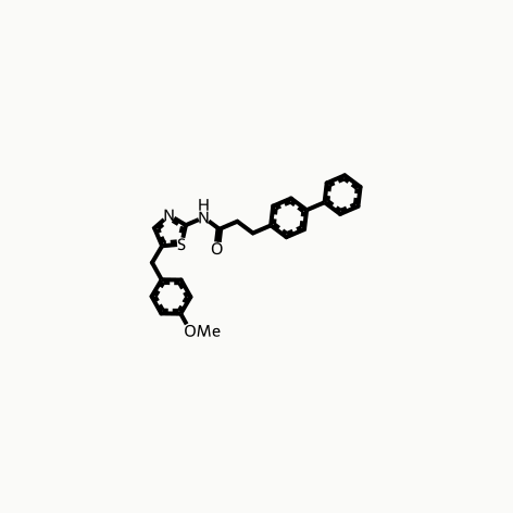 COc1ccc(Cc2cnc(NC(=O)CCc3ccc(-c4ccccc4)cc3)s2)cc1